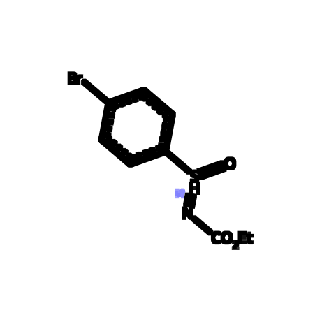 CCOC(=O)/N=[SH](=O)/c1ccc(Br)cc1